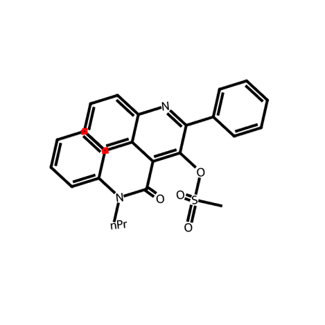 CCCN(C(=O)c1c(OS(C)(=O)=O)c(-c2ccccc2)nc2ccccc12)c1ccccc1